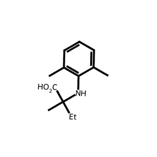 CCC(C)(Nc1c(C)cccc1C)C(=O)O